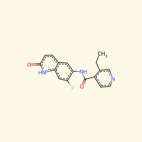 CCc1cnccc1C(=O)Nc1cc2ccc(=O)[nH]c2cc1F